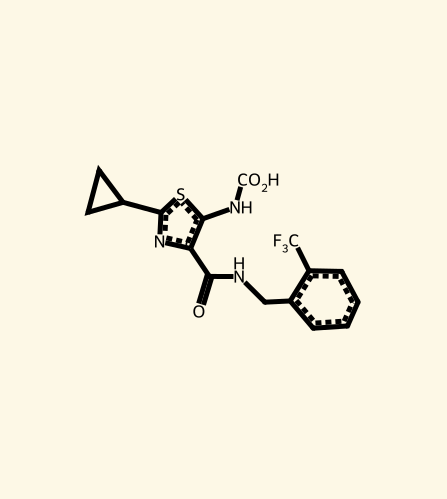 O=C(O)Nc1sc(C2CC2)nc1C(=O)NCc1ccccc1C(F)(F)F